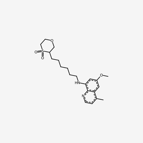 COc1cc(NCCCCCCC2COCCS2(=O)=O)c2nccc(C)c2c1